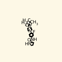 CC(C)(C)OC(=O)N1CCN(c2ccc(NC(=O)[C@H]3CCCN3)cc2F)CC1